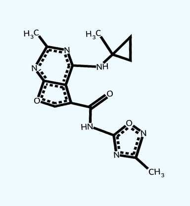 Cc1noc(NC(=O)c2coc3nc(C)nc(NC4(C)CC4)c23)n1